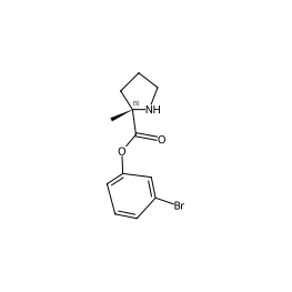 C[C@@]1(C(=O)Oc2cccc(Br)c2)CCCN1